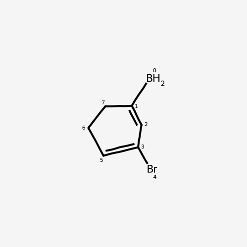 BC1=CC(Br)=CCC1